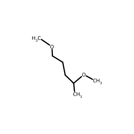 COCCC[C](C)OC